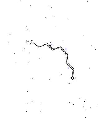 CC/C=C/C=C\C=C\O